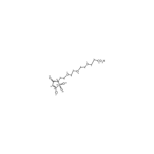 O=C(O)CCOCCOCCOCCN1C(=O)C=C(Cl)S1(=O)=O